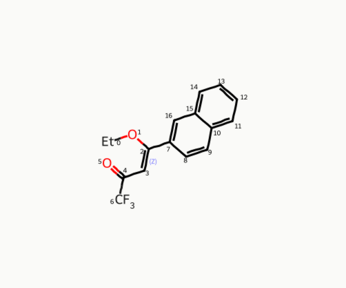 CCO/C(=C\C(=O)C(F)(F)F)c1ccc2ccccc2c1